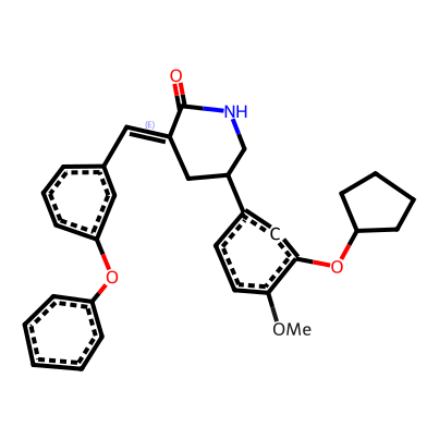 COc1ccc(C2CNC(=O)/C(=C/c3cccc(Oc4ccccc4)c3)C2)cc1OC1CCCC1